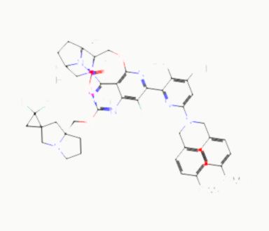 COc1ccc(CN(Cc2ccc(OC)cc2)c2cc(C)c(C(F)(F)F)c(-c3nc4c5c(nc(OC[C@@]67CCCN6CC6(CC6(F)F)C7)nc5c3F)N3C[C@H]5CC[C@@H]([C@H]3CO4)N5C(=O)OC(C)(C)C)n2)cc1